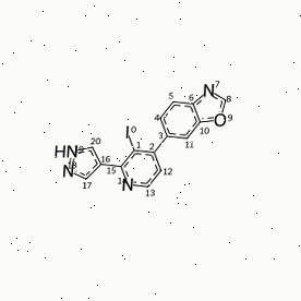 Ic1c(-c2ccc3ncoc3c2)ccnc1-c1cn[nH]c1